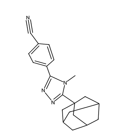 Cn1c(-c2ccc(C#N)cc2)nnc1C12CC3CC(CC(C3)C1)C2